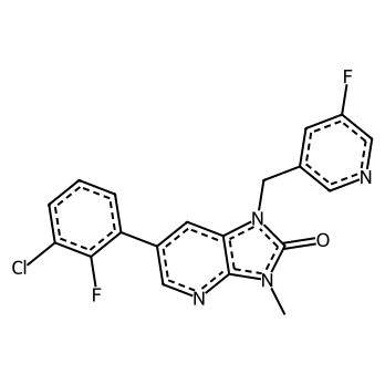 Cn1c(=O)n(Cc2cncc(F)c2)c2cc(-c3cccc(Cl)c3F)cnc21